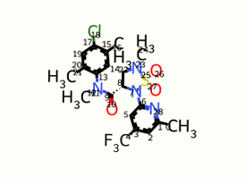 Cc1cc(C(F)(F)F)cc(N2[C@H](C(=O)N(C)c3cc(C)c(Cl)cc3C)CN(C)S2(=O)=O)n1